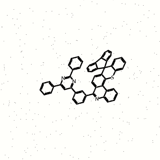 c1ccc(-c2cc(-c3cccc(-c4nc5ccccc5c5c6c(ccc45)C4(c5ccccc5S6)c5ccccc5-c5ccccc54)c3)nc(-c3ccccc3)n2)cc1